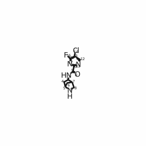 O=C(NC1CC2CC1CN2)c1ncc(Cl)c(F)n1